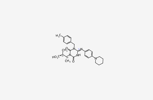 Cc1ccc(Cn2c(=O)n([C@H](C)[C@H](C)C(=O)O)c(=O)[nH]/c2=N\c2ccc(N3CCCCC3)cc2)cc1